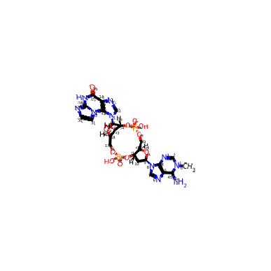 CN1C=Nc2c(ncn2[C@H]2C[C@@H]3OP(=O)(O)OC[C@H]4O[C@@H](n5cnc6c(=O)[nH]c7nccn7c65)[C@H](OP(=O)(O)OC[C@H]3O2)[C@@H]4O)C1N